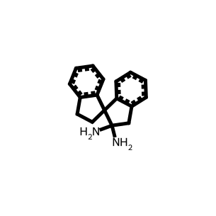 NC1(N)Cc2ccccc2C12CCc1ccccc12